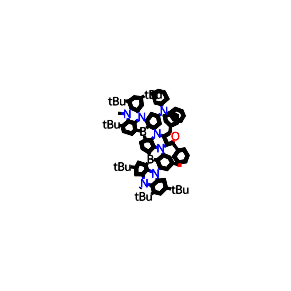 Cc1cc2c3c(c1)N1c4c(ccc5c4N(c4cc(N(c6ccccc6)c6ccccc6)cc6c4B5c4ccc(C(C)(C)C)c5c4N6c4cc(C(C)(C)C)cc(C(C)(C)C)c4N5C)c4c(-c5ccccc5)oc(-c5ccccc5)c41)B3c1cc(C(C)(C)C)cc3c1N2c1cc(C(C)(C)C)cc(C(C)(C)C)c1N3C